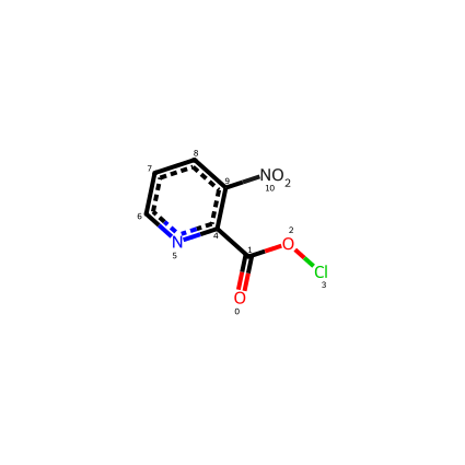 O=C(OCl)c1ncccc1[N+](=O)[O-]